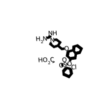 CC(=O)O.N=C(N)N1CCC(COc2cc(OS(=O)(=O)c3ccccc3Cl)cc3ccccc23)CC1